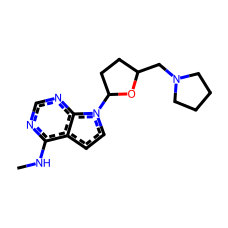 CNc1ncnc2c1ccn2C1CCC(CN2CCCC2)O1